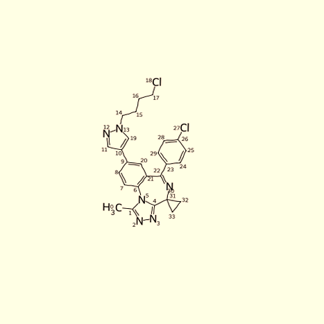 Cc1nnc2n1-c1ccc(-c3cnn(CCCCCl)c3)cc1C(c1ccc(Cl)cc1)=NC21CC1